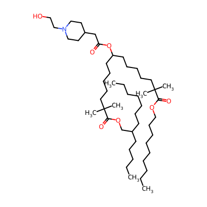 CCCCCCCCCOC(=O)C(C)(C)CCCCCC(CCCCCC(C)(C)C(=O)OCC(CCCCC)CCCCCCC)OC(=O)CC1CCN(CCO)CC1